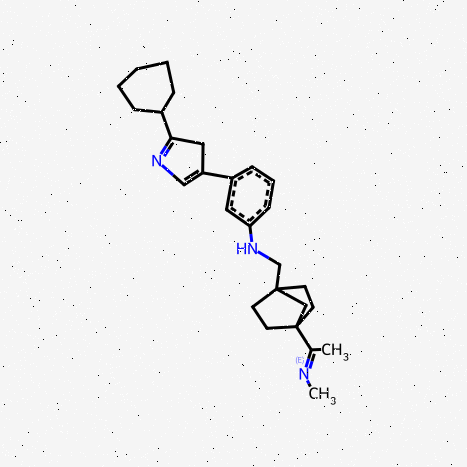 C/N=C(\C)C12CCC(CNc3cccc(C4=CN=C(C5CCCCC5)C4)c3)(CC1)C2